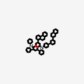 c1ccc(-n2c3ccccc3c3cc(-c4ccccc4N(c4ccc(-c5cccc(-c6ccc7ccccc7c6)c5)cc4)c4cccc(-c5cccc6c5ccc5ccccc56)c4)ccc32)cc1